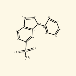 NS(=O)(=O)c1ccc2ncn(-c3ccccc3)c2c1